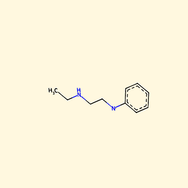 CCNCC[N]c1ccccc1